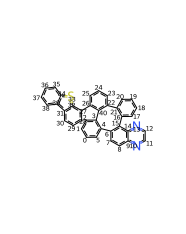 c1ccc2c(c1)-c1ccc3nccnc3c1-c1ccccc1-c1cccc(-c3cccc4c3sc3ccccc34)c1-2